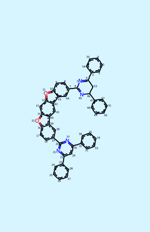 c1ccc(C2=NC(c3ccc4oc5cc6oc7ccc(-c8nc(-c9ccccc9)cc(-c9ccccc9)n8)cc7c6cc5c4c3)=NC(c3ccccc3)C2)cc1